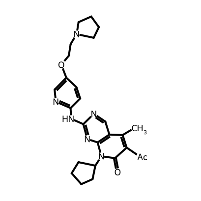 CC(=O)c1c(C)c2cnc(Nc3ccc(OCCN4CCCC4)cn3)nc2n(C2CCCC2)c1=O